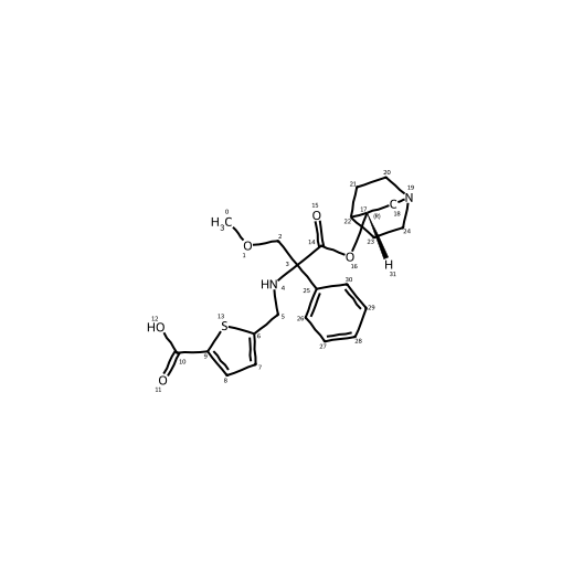 COCC(NCc1ccc(C(=O)O)s1)(C(=O)O[C@H]1CN2CCC1CC2)c1ccccc1